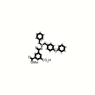 COC(=O)c1cc(C(=O)O)cc(C(=S)SN(Cc2ccccc2)Cc2ccc(Oc3ccccc3)cc2)c1